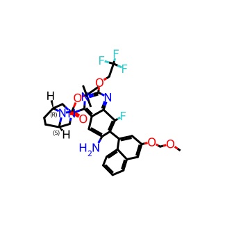 COCOc1cc(-c2c(N)cc3c(N4C[C@H]5CC[C@@H](C4)N5C(=O)OC(C)(C)C)nc(OCC(F)(F)F)nc3c2F)c2ccccc2c1